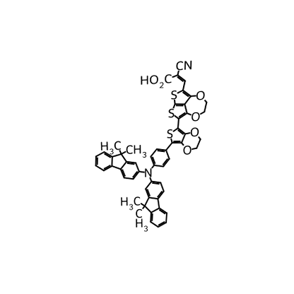 CC1(C)c2ccccc2-c2ccc(N(c3ccc(-c4sc(-c5sc6sc(/C=C(/C#N)C(=O)O)c7c6c5OCCO7)c5c4OCCO5)cc3)c3ccc4c(c3)C(C)(C)c3ccccc3-4)cc21